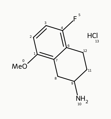 COc1ccc(F)c2c1CC(N)CC2.Cl